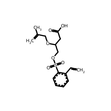 C=Cc1ccccc1S(=O)(=O)OCC(CC(=O)O)OCC(=C)C